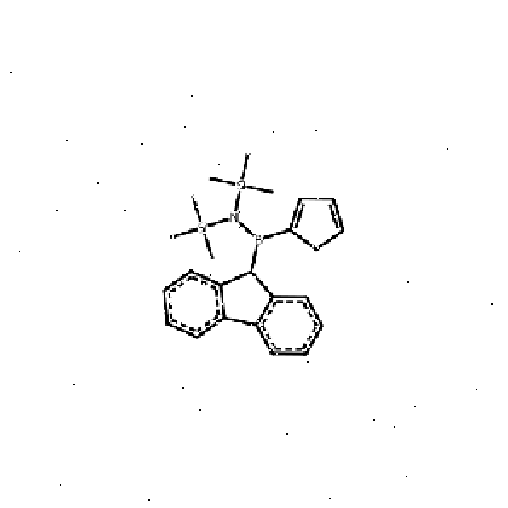 C[Si](C)(C)N(B(C1=CC=CC1)C1c2ccccc2-c2ccccc21)[Si](C)(C)C